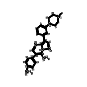 CN1CCN(c2cccc(-c3cnn4c(N)c(-c5ccc(N)cc5)cnc34)c2)CC1